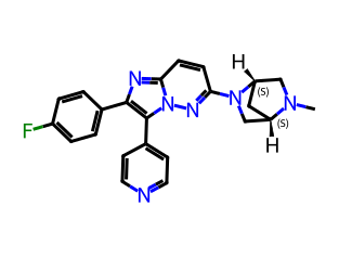 CN1C[C@@H]2C[C@H]1CN2c1ccc2nc(-c3ccc(F)cc3)c(-c3ccncc3)n2n1